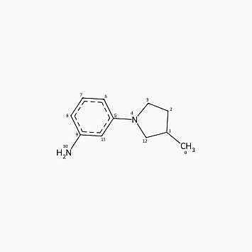 CC1CCN(c2cccc(N)c2)C1